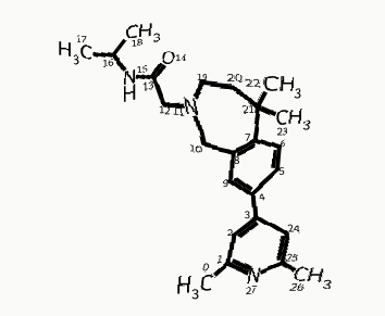 Cc1cc(-c2ccc3c(c2)CN(CC(=O)NC(C)C)CCC3(C)C)cc(C)n1